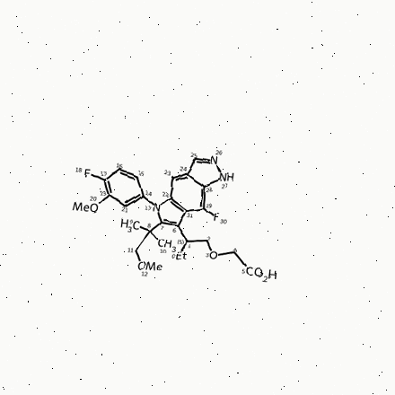 CC[C@H](COCC(=O)O)c1c(C(C)(C)COC)n(-c2ccc(F)c(OC)c2)c2cc3cn[nH]c3c(F)c12